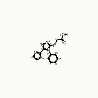 O=C(O)CSc1nnc(-c2ccco2)n1-c1ccccc1